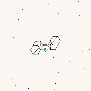 BrC12CC3CC(CC(C3)C1=C1C3CC4CC(C3)CC1C4)C2